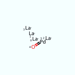 [La].[La].[La].[La].[O]=[Pd]